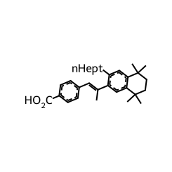 CCCCCCCc1cc2c(cc1C(C)=Cc1ccc(C(=O)O)cc1)C(C)(C)CCC2(C)C